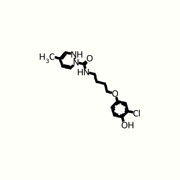 CC1=CNN(C(=O)NCCCCOc2ccc(O)c(Cl)c2)C=C1